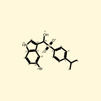 CC(C)c1ccc(S(=O)(=O)C(O)c2c[nH]c3ccc(Br)cc23)cc1